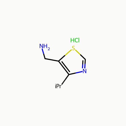 CC(C)c1ncsc1CN.Cl